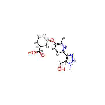 Cc1nc(-c2nnn(C)c2CO)ccc1OC1CCCC(C(=O)O)C1